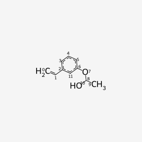 C=Cc1cccc(OC(C)O)c1